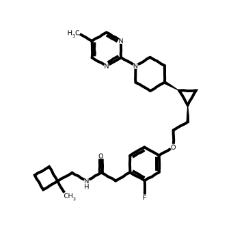 Cc1cnc(N2CCC([C@H]3C[C@H]3CCOc3ccc(CC(=O)NCC4(C)CCC4)c(F)c3)CC2)nc1